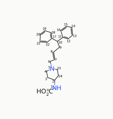 O=C(O)NC1CCN(C/C=C/CC(c2ccccc2)c2ccccc2)CC1